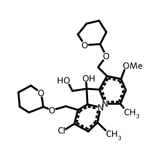 COc1cc(C)nc(C(O)(CO)c2nc(C)cc(Cl)c2COC2CCCCO2)c1COC1CCCCO1